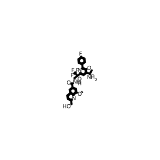 COc1cc(C(=O)NCC(O)(c2cc3c(c(-c4ccc(F)cc4)n2)OC[C@@]3(C)N)C(F)(F)F)cc2ccc(CO)nc12